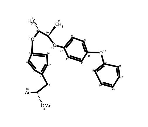 CO[C@@H](Cc1ccc(O[C@H](C)[C@@H](C)Oc2ccc(Oc3ccccc3)cc2)cc1)C(C)=O